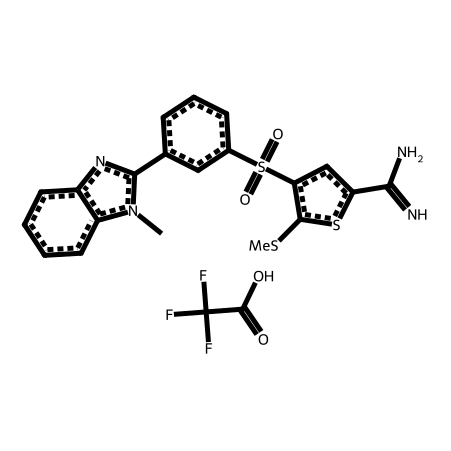 CSc1sc(C(=N)N)cc1S(=O)(=O)c1cccc(-c2nc3ccccc3n2C)c1.O=C(O)C(F)(F)F